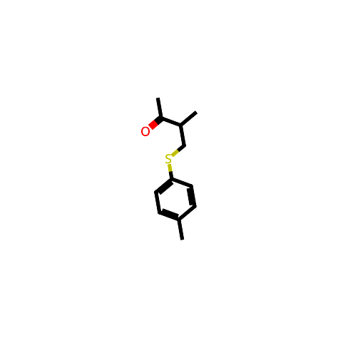 CC(=O)C(C)CSc1ccc(C)cc1